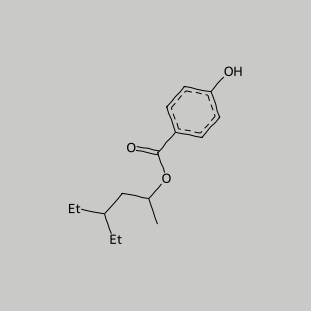 CCC(CC)CC(C)OC(=O)c1ccc(O)cc1